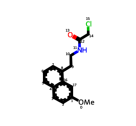 COc1ccc2cccc(CCNC(=O)CCl)c2c1